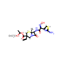 C=CC1(C(=O)OC(C)OC(=O)OCC)CS[C@@H]2C(NC(=O)C(=NO)c3csc(N)n3)C(=O)N2C1